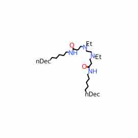 CCCCCCCCCCCCCCCNC(=O)CCN(CC)CCN(CC)CCC(=O)NCCCCCCCCCCCCCCC